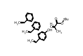 C=C(C)C(=O)OC(C)(C)C.C=Cc1ccc(O)cc1.C=Cc1ccccc1.C=Cc1ccccc1